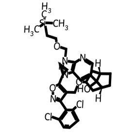 C[Si](C)(C)CCOCn1nnc2cc(C3(O)[C@@H]4CC[C@H]3CC(OCc3c(-c5c(Cl)cccc5Cl)noc3C3CC3)C4)cnc21